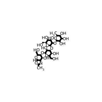 CC1=NC2[C@@H](O1)OC(CO)[C@@H](O[C@@H]1OC(CO)[C@@H](O)[C@H](O[C@H]3O[C@@H](CO)[C@@H](O)C(O)C3O[C@H]3O[C@@H](C)[C@@H](O)C(O)C3O)C1O)[C@@H]2O